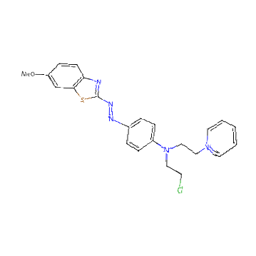 COc1ccc2nc(N=Nc3ccc(N(CCCl)CC[n+]4ccccc4)cc3)sc2c1